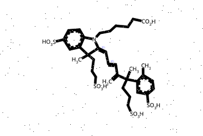 C=C(/C=C/C=C1/N(CCCCCC(=O)O)c2ccc(S(=O)(=O)O)cc2C1(C)CCCS(=O)(=O)O)C(C)(CCCS(=O)(=O)O)c1cc(S(=O)(=O)O)ccc1C